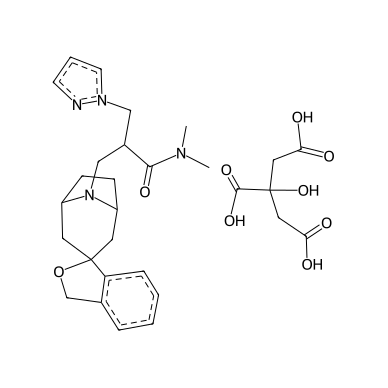 CN(C)C(=O)C(CN1C2CCC1CC1(C2)OCc2ccccc21)Cn1cccn1.O=C(O)CC(O)(CC(=O)O)C(=O)O